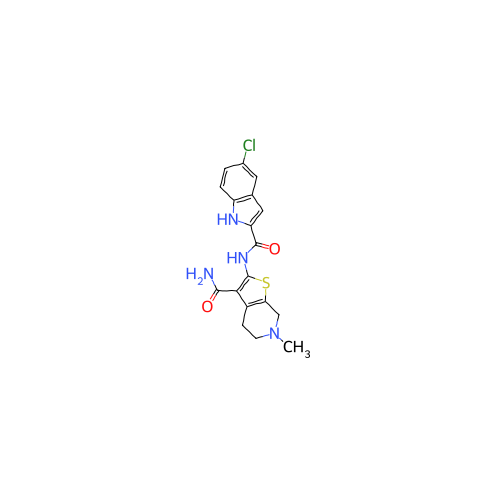 CN1CCc2c(sc(NC(=O)c3cc4cc(Cl)ccc4[nH]3)c2C(N)=O)C1